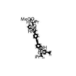 COC(=O)N[C@H](C(=O)N1CCC[C@H]1c1ncc(-c2ccc(C#Cc3ccc4nc([C@@H]5C[C@@H](C6CC6)CN5C(=O)[C@@H](C)C(C)C)[nH]c4c3)cc2)[nH]1)C(C)C